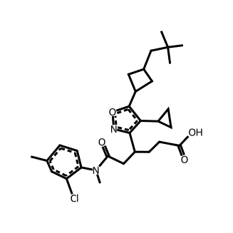 Cc1ccc(N(C)C(=O)CC(CCC(=O)O)c2noc(C3CC(CC(C)(C)C)C3)c2C2CC2)c(Cl)c1